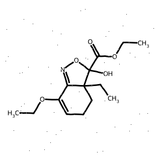 CCOC(=O)C1(O)ON=C2C(OCC)=CCCC21CC